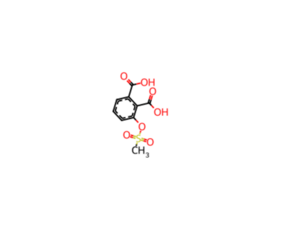 CS(=O)(=O)Oc1cccc(C(=O)O)c1C(=O)O